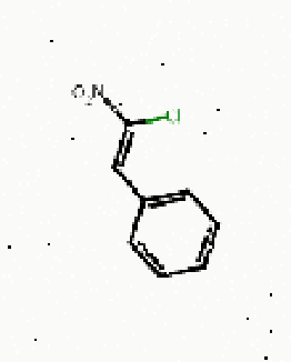 O=[N+]([O-])C(Cl)=Cc1ccccc1